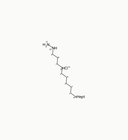 CCCCCCCCCCCCCCCCNN.Cl